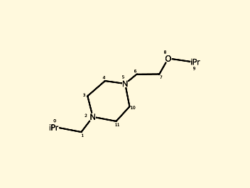 CC(C)CN1CCN(CCOC(C)C)CC1